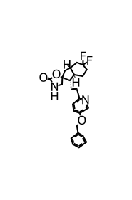 O=C1NCC2(C[C@@H]3CC(F)(F)CC[C@H]3[C@@H]2C=Cc2ccc(OCc3ccccc3)cn2)O1